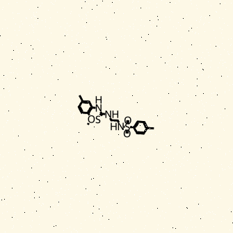 COc1ccc(C)cc1NC(=S)NCCNS(=O)(=O)c1ccc(C)cc1